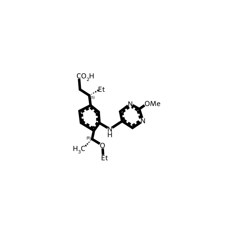 CCO[C@H](C)c1ccc([C@@H](CC)CC(=O)O)cc1Nc1cnc(OC)nc1